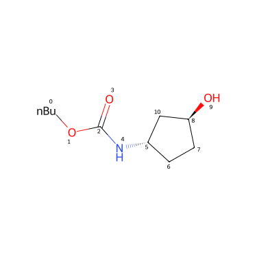 CCCCOC(=O)N[C@H]1CC[C@H](O)C1